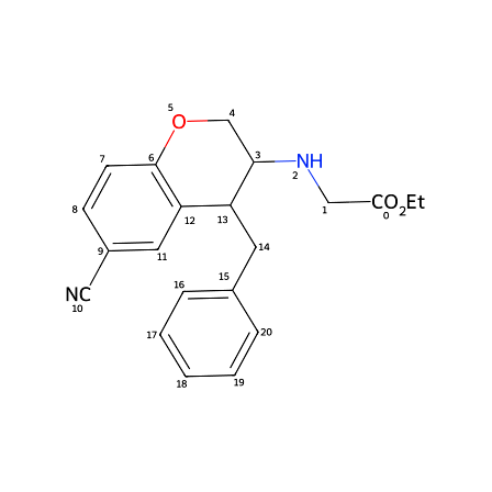 CCOC(=O)CNC1COc2ccc(C#N)cc2C1Cc1ccccc1